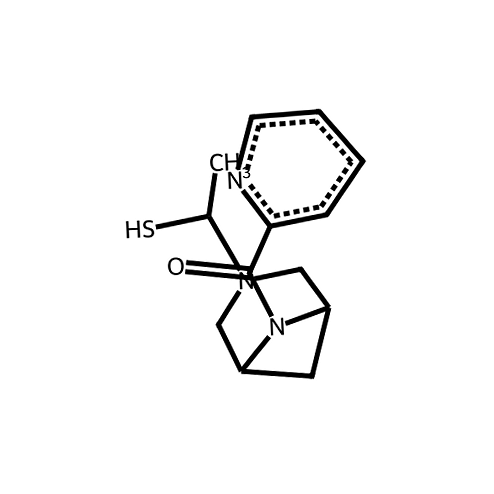 CC(S)N1CC2CC(C1)N2C(=O)c1ccccn1